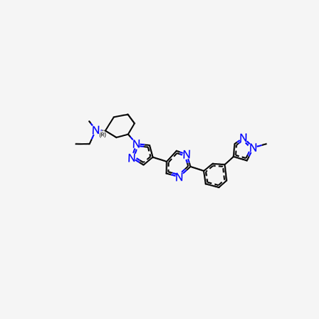 CCN(C)[C@@H]1CCCC(n2cc(-c3cnc(-c4cccc(-c5cnn(C)c5)c4)nc3)cn2)C1